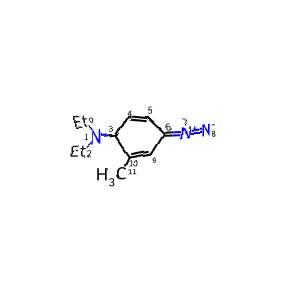 CCN(CC)C1C=CC(=[N+]=[N-])C=C1C